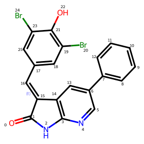 O=C1Nc2ncc(-c3ccccc3)cc2/C1=C\c1cc(Br)c(O)c(Br)c1